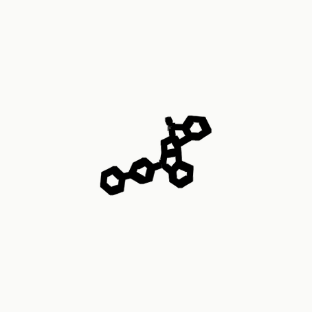 Cn1c2c(c3ccccc31)-c1c(n(-c3ccc(C4=CCCC=C4)cc3)c3ccccc13)C2